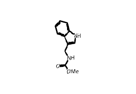 COC(=O)NCc1c[nH]c2ccccc12